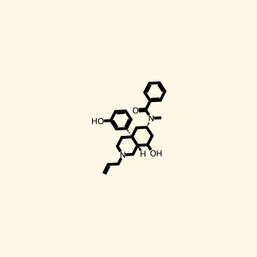 C=CCN1CC[C@@]2(c3cccc(O)c3)C[C@H](N(C)C(=O)c3ccccc3)CC(O)[C@@H]2C1